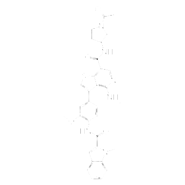 COc1cc(-c2csc3c(C(=O)NC4CCN(C(C)=O)C4)cnc(N)c23)ccc1NC(=O)c1cc2ccccc2n1C